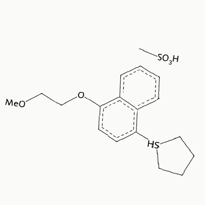 COCCOc1ccc([SH]2CCCC2)c2ccccc12.CS(=O)(=O)O